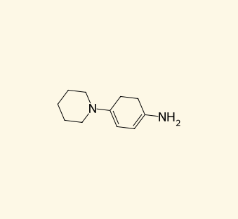 NC1=CC=C(N2CCCCC2)CC1